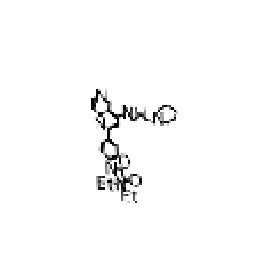 CCN(CC)C(=O)c1nc2ccc(-c3cc(NCCCN4CCCCC4)c4cnccc4n3)cc2o1